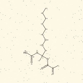 C=C(C)C(=O)OC(C)(COOCCCCCC)OC(=O)O